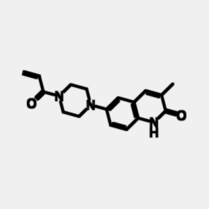 C=CC(=O)N1CCN(c2ccc3[nH]c(=O)c(C)cc3c2)CC1